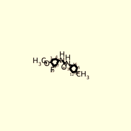 COc1ccc(NC(=O)Nc2ccc(C)cc2)cc1F